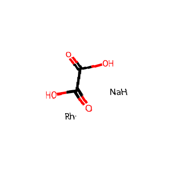 O=C(O)C(=O)O.[NaH].[Rh]